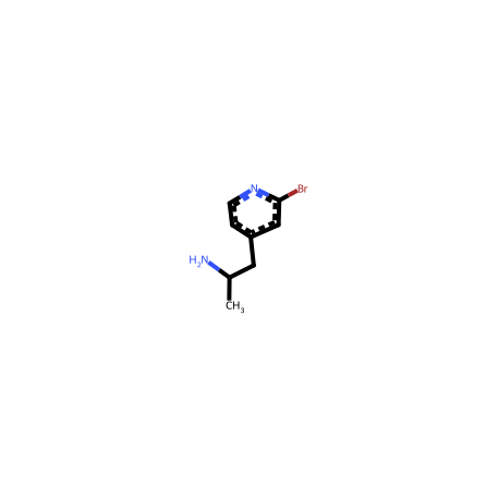 CC(N)Cc1ccnc(Br)c1